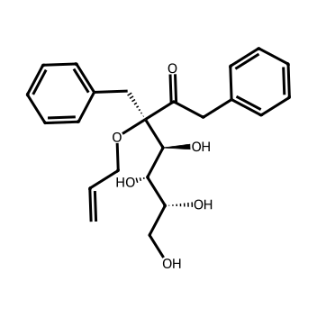 C=CCO[C@@](Cc1ccccc1)(C(=O)Cc1ccccc1)[C@@H](O)[C@@H](O)[C@H](O)CO